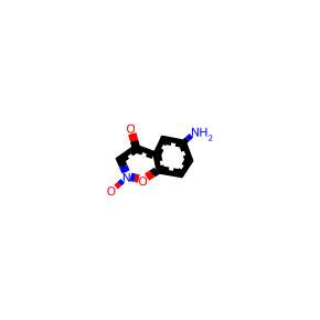 Nc1ccc2o[n+]([O-])cc(=O)c2c1